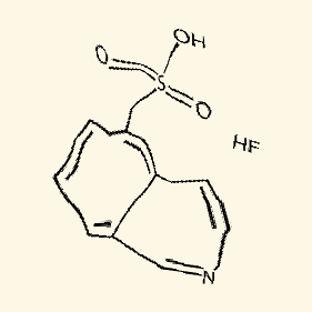 F.O=S(=O)(O)c1cccc2cnccc12